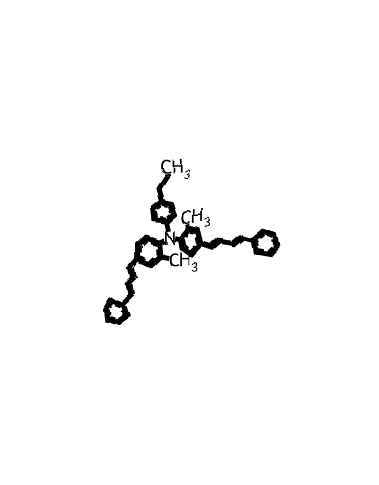 CCCc1ccc(N(c2ccc(/C=C/C=C/c3ccccc3)cc2C)c2ccc(/C=C/C=C/c3ccccc3)cc2C)cc1